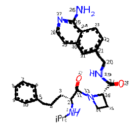 CC(C)N[C@H](CCc1ccccc1)C(=O)N1CC[C@H]1C(=O)NCc1ccc2c(N)nccc2c1